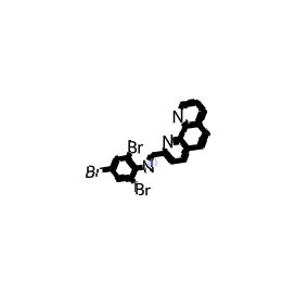 Brc1cc(Br)c(/N=C/c2ccc3ccc4cccnc4c3n2)c(Br)c1